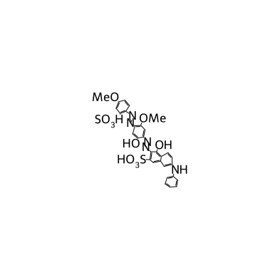 COc1ccc(N=Nc2cc(O)c(N=Nc3c(S(=O)(=O)O)cc4cc(Nc5ccccc5)ccc4c3O)cc2OC)c(S(=O)(=O)O)c1